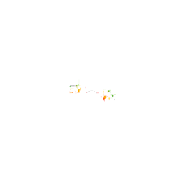 O=S(=O)(OCCCOS(=O)(=O)C(F)(F)C(F)(F)C(F)(F)F)C(F)(F)C(F)(F)C(F)(F)F